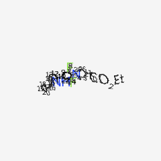 CCOC(=O)CC1CCN(c2c(F)cc(C3=CC=CC(=CC4CCC4)N3)cc2F)CC1